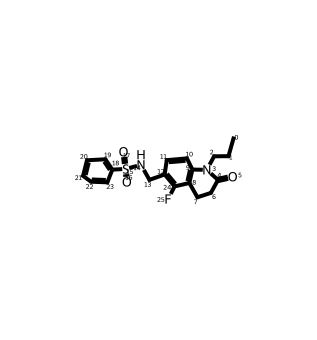 CCCN1C(=O)CCc2c1ccc(CNS(=O)(=O)c1ccccc1)c2F